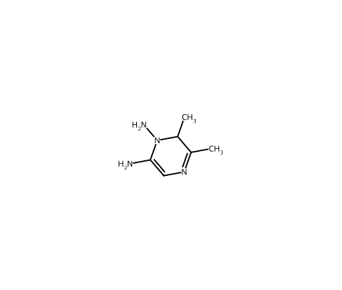 CC1=NC=C(N)N(N)C1C